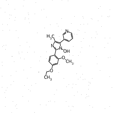 CCOc1ccc(-c2nc(C)c(-c3cccnc3)n2O)c(OC)c1